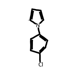 Clc1ccc(-n2[c]ccc2)cc1